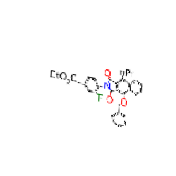 CCCc1c2c(c(OCc3ccccc3)c3ccccc13)C(=O)N(c1ccc(CC(=O)OCC)cc1F)C2=O